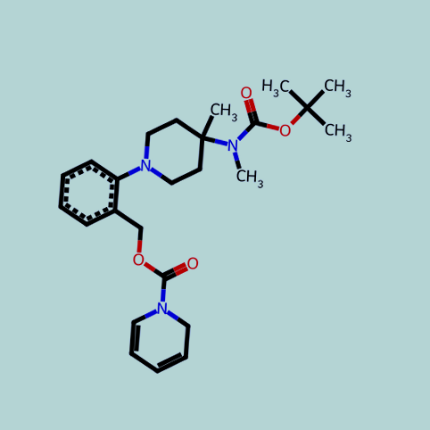 CN(C(=O)OC(C)(C)C)C1(C)CCN(c2ccccc2COC(=O)N2C=CC=CC2)CC1